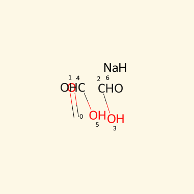 C=O.O=CO.O=CO.[NaH]